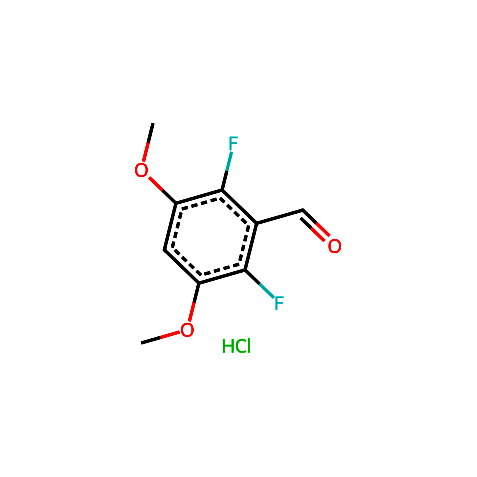 COc1cc(OC)c(F)c(C=O)c1F.Cl